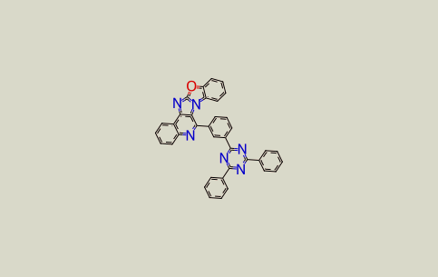 c1ccc(-c2nc(-c3ccccc3)nc(-c3cccc(-c4nc5ccccc5c5nc6oc7ccccc7n6c45)c3)n2)cc1